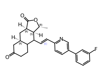 C[C@H]1OC(=O)[C@@H]2C[C@@H]3CC(=O)CCC3C(/C=C/c3ccc(-c4cccc(F)c4)cn3)[C@H]12